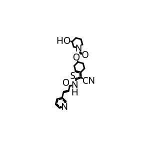 N#Cc1c(NC(=O)C=Cc2cccnc2)sc2c1CCC(OC(=O)N1CCCC(O)C1)C2